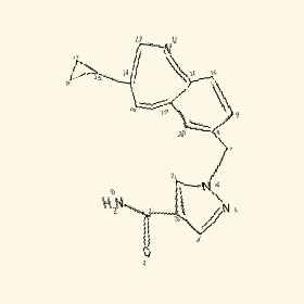 NC(=O)c1cnn(Cc2ccc3ncc(C4CC4)cc3c2)c1